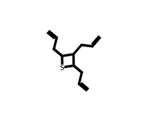 C=CCC1SC(CC=C)C1CC=C